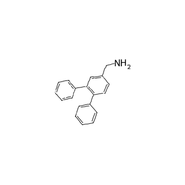 NCc1ccc(-c2ccccc2)c(-c2ccccc2)c1